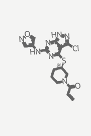 C=CC(=O)N1CCC[C@@H](Sc2nc(Nc3cnoc3)nc3[nH]nc(Cl)c23)C1